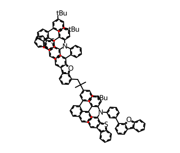 CC(C)(C)c1cc(-c2cccc3cccc(-c4ccccc4N(c4ccccc4-c4cccc5c4oc4c(CC(C)(C)c6cc(-c7cccc8cccc(-c9ccccc9N(c9cccc(-c%10cccc%11c%10oc%10ccccc%10%11)c9)c9cccc%10c9sc9ccccc9%10)c78)cc(C(C)(C)C)c6)cccc45)c4cccc5c4sc4ccccc45)c23)cc(C(C)(C)C)c1